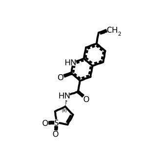 C=Cc1ccc2cc(C(=O)N[C@@H]3C=CS(=O)(=O)C3)c(=O)[nH]c2c1